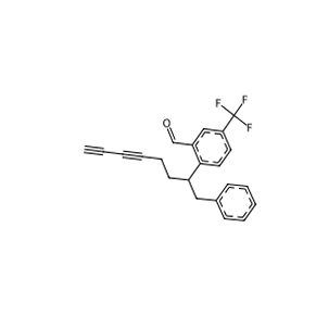 C#CC#CCCC(Cc1ccccc1)c1ccc(C(F)(F)F)cc1C=O